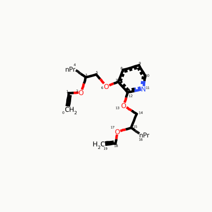 C=COC(CCC)COc1cccnc1OCC(CCC)OC=C